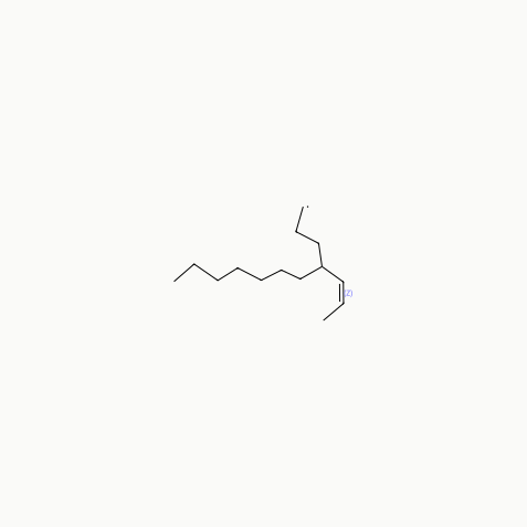 [CH2]CCC(/C=C\C)CCCCCCC